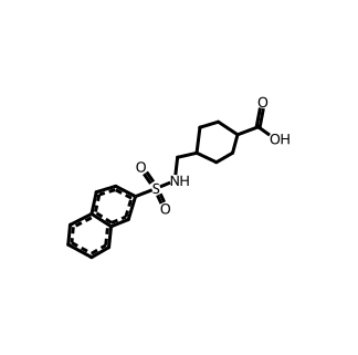 O=C(O)C1CCC(CNS(=O)(=O)c2ccc3ccccc3c2)CC1